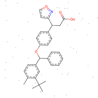 Cc1ccc(C(Oc2ccc(C(CC(=O)O)c3ccon3)cc2)c2ccccc2)cc1C(C)(C)C